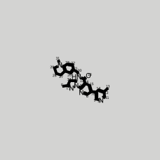 CC1=NN(c2ncc(-c3cncc(C)c3)cc2C(=O)NCc2ccc3c(c2)CCCN3C)CC1